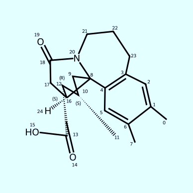 Cc1cc2c(cc1C)C13C[C@H](C)[C@@H](C(=O)O)[C@@H]1CC(=O)N3CCC2